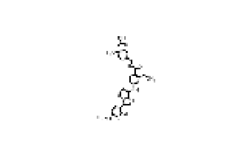 CCc1cc(Nc2nccn3c(-c4ccc(OC)c(F)c4F)cnc23)ccc1C(=O)NCC1CC[N+](C)(CC(=O)O)CC1